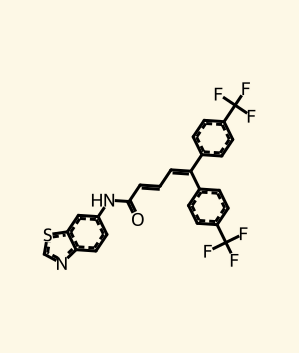 O=C(C=CC=C(c1ccc(C(F)(F)F)cc1)c1ccc(C(F)(F)F)cc1)Nc1ccc2ncsc2c1